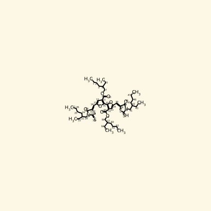 CCCCC(CC)COC(=O)c1cc(/C=C2\SC(=S)N(CC(CC)CCCC)C2=O)oc1-c1oc(/C=C2\SC(S)N(CC(CC)CCCC)C2=O)cc1C(=O)OCC(CC)CCCC